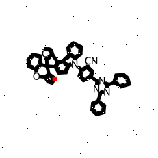 N#Cc1cc(-c2nc(-c3ccccc3)nc(-c3ccccc3)n2)ccc1-n1c2ccccc2c2c3c(ccc21)C1(c2ccccc2Oc2ccccc21)c1ccccc1-3